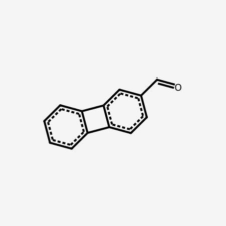 O=[C]c1ccc2c(c1)-c1ccccc1-2